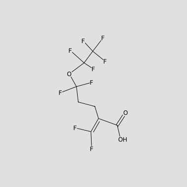 O=C(O)C(CCC(F)(F)OC(F)(F)C(F)(F)F)=C(F)F